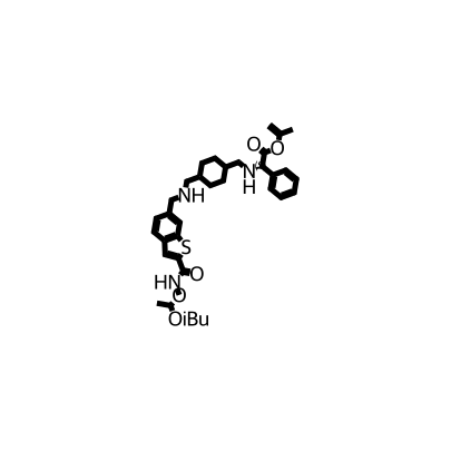 C=C(C)OC(=O)[C@@H](NCC1CCC(CNCc2ccc3cc(C(=O)NOC(C)OCC(C)C)sc3c2)CC1)c1ccccc1